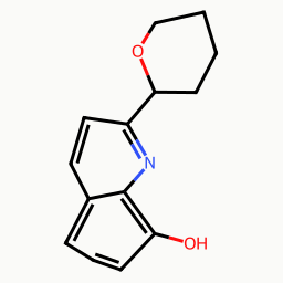 Oc1cccc2ccc(C3CCCCO3)nc12